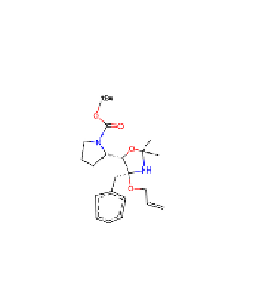 C=CCO[C@]1(Cc2ccccc2)NC(C)(C)O[C@H]1C1CCCN1C(=O)OC(C)(C)C